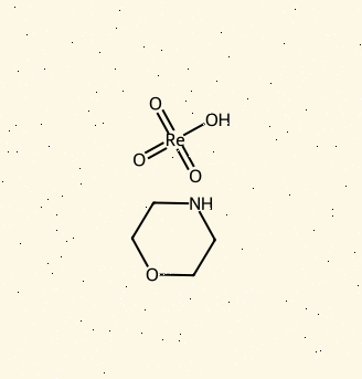 C1COCCN1.[O]=[Re](=[O])(=[O])[OH]